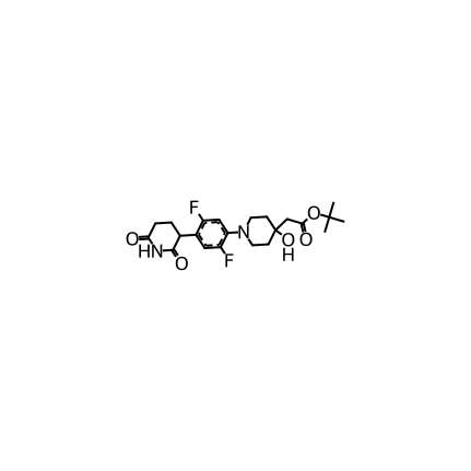 CC(C)(C)OC(=O)CC1(O)CCN(c2cc(F)c(C3CCC(=O)NC3=O)cc2F)CC1